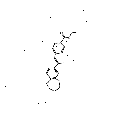 CCOC(=O)c1ccc(C=C(C)c2ccc3c(c2)SCCCS3)cc1